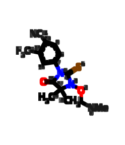 CNCON1C(=S)N(c2ccc(C#N)c(C(F)(F)F)c2)C(=O)C1(C)C